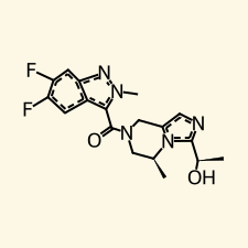 C[C@@H](O)c1ncc2n1[C@@H](C)CN(C(=O)c1c3cc(F)c(F)cc3nn1C)C2